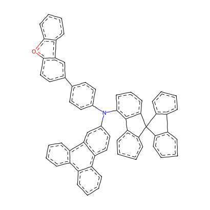 c1ccc2c(c1)-c1ccccc1C21c2ccccc2-c2c(N(c3ccc(-c4ccc5oc6ccccc6c5c4)cc3)c3ccc4c5ccccc5c5ccccc5c4c3)cccc21